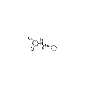 S=C(NCC1CCCCC1)Nc1cc(Cl)cc(Cl)c1